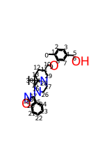 Cc1ccc(CO)cc1OC[C@@H]1CC[C@H]2CN(c3noc4ccccc34)CCN2C1